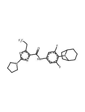 O=C(Nc1cc(F)c(N2C3CCCC2CC3)c(F)c1)c1nc(N2CCCC2)oc1CC(F)(F)F